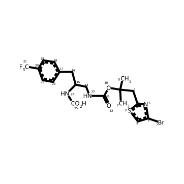 CC(C)(Cc1nc(Br)cs1)OC(=O)NCC(Cc1ccc(C(F)(F)F)cc1)NC(=O)O